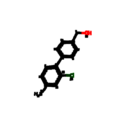 Bc1ccc(-c2ccc(CO)cc2)c(Cl)c1